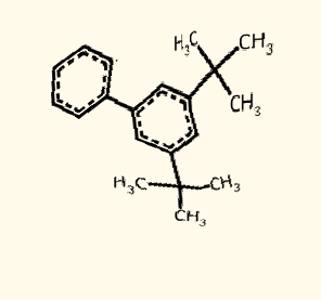 CC(C)(C)c1cc(-c2[c]cccc2)cc(C(C)(C)C)c1